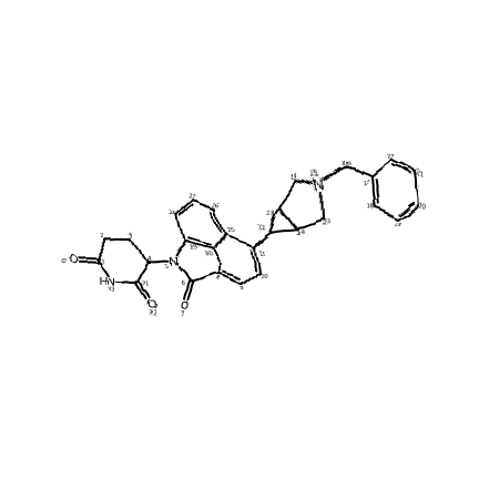 O=C1CCC(N2C(=O)c3ccc(C4C5CN(Cc6ccccc6)CC54)c4cccc2c34)C(=O)N1